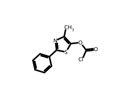 Cc1nc(-c2ccccc2)sc1OC(=O)Cl